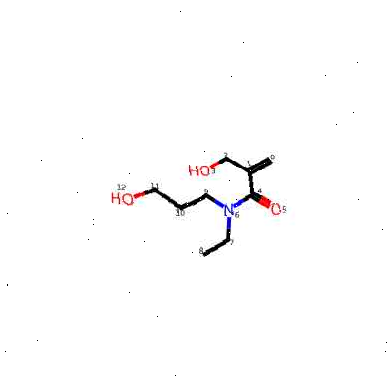 C=C(CO)C(=O)N(CC)CCCO